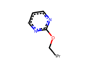 CC(C)COc1n[c]ccn1